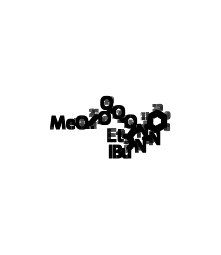 CCc1c(C(C)CC)nc2nc3ccccc3n2c1OCOC(=O)OCCOC